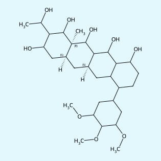 COC1CC(C2CCC(O)C3C(O)C4C(O)[C@]5(C)C(O)C(C(C)O)C(O)C[C@@H]5C[C@@H]4CC23)CC(OC)C1OC